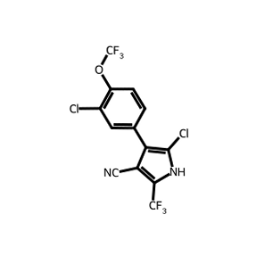 N#Cc1c(C(F)(F)F)[nH]c(Cl)c1-c1ccc(OC(F)(F)F)c(Cl)c1